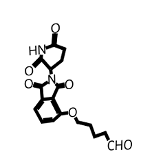 O=CCCCCOc1cccc2c1C(=O)N(C1CCC(=O)NC1=O)C2=O